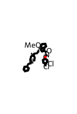 COc1cccc2c(C(=O)N(C)Cc3ccc(Cl)c(Cl)c3)cn(CCCN3CCN(CCc4ccccc4)CC3)c12